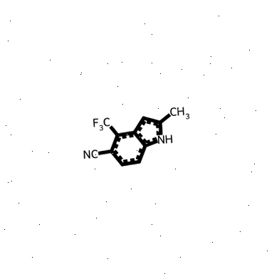 Cc1cc2c(C(F)(F)F)c(C#N)ccc2[nH]1